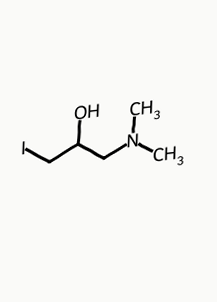 CN(C)CC(O)CI